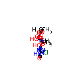 CO[C@H](CN(C)C(=O)CP(=O)(O)OCOC(=O)OC(C)C)[C@@H](O)Cn1cnc2c(N[C@H]3CCOC3)nc(Cl)nc21